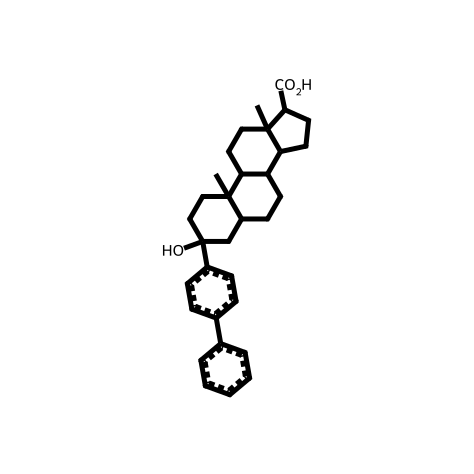 CC12CCC(O)(c3ccc(-c4ccccc4)cc3)CC1CCC1C2CCC2(C)C(C(=O)O)CCC12